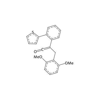 COc1cccc(OC)c1CC(=C=O)c1ccccc1-c1cccs1